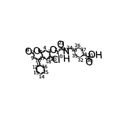 CC(Oc1cc2oc(=O)cc(-c3ccccc3)c2cc1Cl)C(=O)NCC1CCC(C(=O)O)CC1